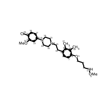 CONCCCOc1ccc(CCN2CCN(c3ccc(Cl)c(OC)c3)CC2)c(C)c1C